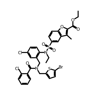 CCOC(=O)c1oc2ccc(S(=O)(=O)N(CC)c3ccc(Cl)cc3CN(Cc3ccc(Br)s3)C(=O)c3ccccc3Cl)cc2c1C